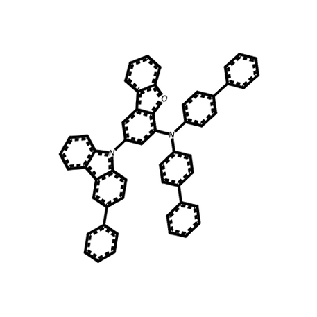 c1ccc(-c2ccc(N(c3ccc(-c4ccccc4)cc3)c3cc(-n4c5ccccc5c5cc(-c6ccccc6)ccc54)cc4c3oc3ccccc34)cc2)cc1